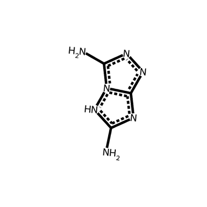 Nc1nc2nnc(N)n2[nH]1